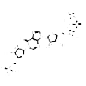 N=c1c2ncn([C@@H]3O[C@H](COP(=O)(O)OP(=O)(O)OP(=O)(O)O)[C@H](O)[C@H]3O)c2ncn1[C@@H]1O[C@H](COP(=O)(O)O)[C@@H](O)[C@H]1O